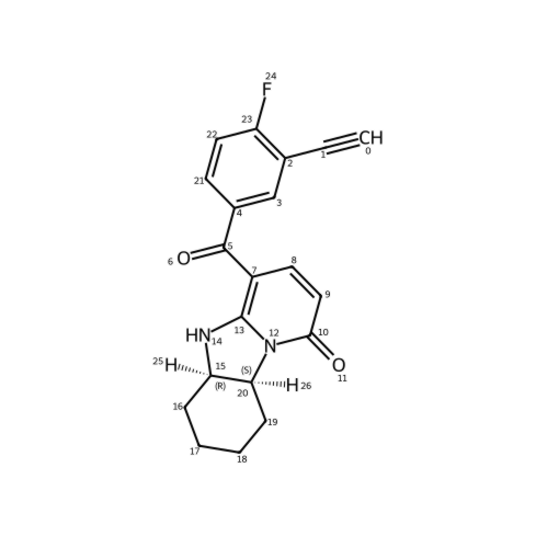 C#Cc1cc(C(=O)c2ccc(=O)n3c2N[C@@H]2CCCC[C@@H]23)ccc1F